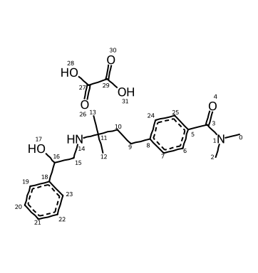 CN(C)C(=O)c1ccc(CCC(C)(C)NCC(O)c2ccccc2)cc1.O=C(O)C(=O)O